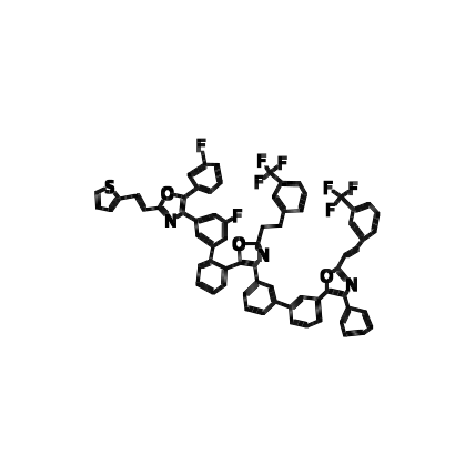 Fc1cc(-c2ccccc2-c2oc(CCc3cccc(C(F)(F)F)c3)nc2-c2cccc(-c3cccc(-c4oc(/C=C/c5cccc(C(F)(F)F)c5)nc4-c4ccccc4)c3)c2)cc(-c2nc(/C=C/c3cccs3)oc2-c2cccc(F)c2)c1